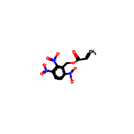 C=CC(=O)OCc1c([N+](=O)[O-])ccc([N+](=O)[O-])c1[N+](=O)[O-]